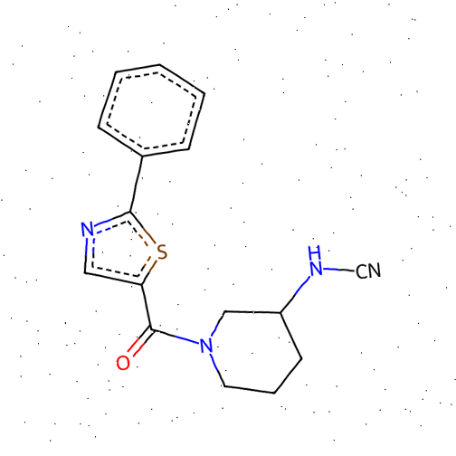 N#CNC1CCCN(C(=O)c2cnc(-c3ccccc3)s2)C1